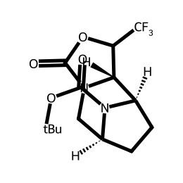 CC(C)(C)OC(=O)N1[C@H]2CC[C@@H]1[C@H]1C(C(F)(F)F)OC(=O)N1C2